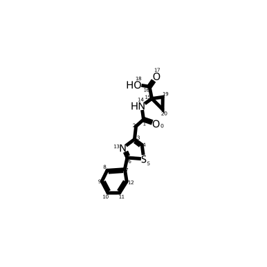 O=C(Cc1csc(-c2ccccc2)n1)NC1(C(=O)O)CC1